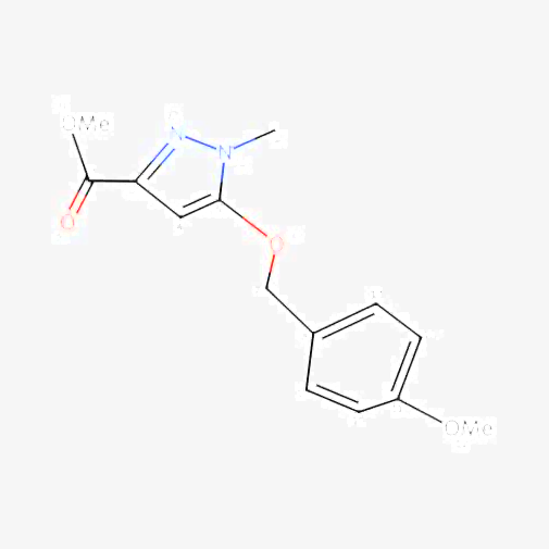 COC(=O)c1cc(OCc2ccc(OC)cc2)n(C)n1